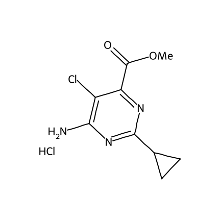 COC(=O)c1nc(C2CC2)nc(N)c1Cl.Cl